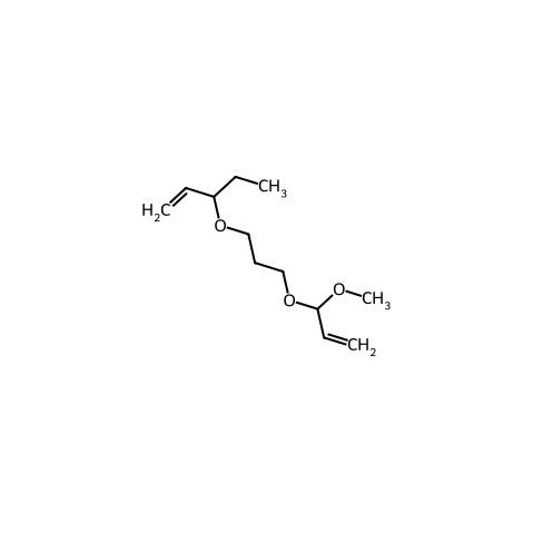 C=CC(CC)OCCCOC(C=C)OC